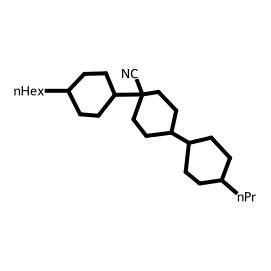 CCCCCCC1CCC(C2(C#N)CCC(C3CCC(CCC)CC3)CC2)CC1